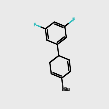 CCCCC1=CCC(c2cc(F)cc(F)c2)C=C1